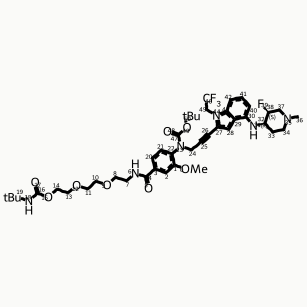 COc1cc(C(=O)NCCOCCOCCOC(=O)NC(C)(C)C)ccc1N(CC#Cc1cc2c(N[C@@H]3CCN(C)C[C@@H]3F)cccc2n1CC(F)(F)F)C(=O)OC(C)(C)C